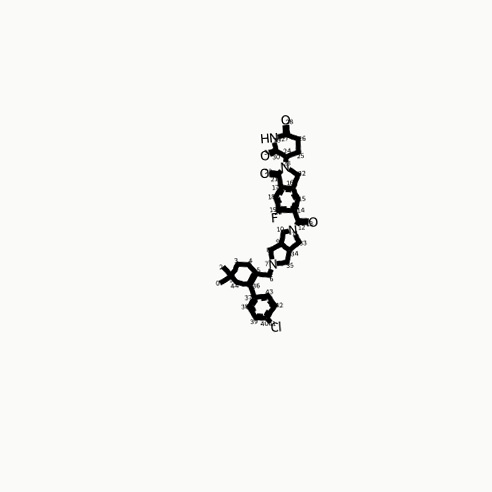 CC1(C)CCC(CN2CC3CN(C(=O)c4cc5c(cc4F)C(=O)N(C4CCC(=O)NC4=O)C5)CC3C2)=C(c2ccc(Cl)cc2)C1